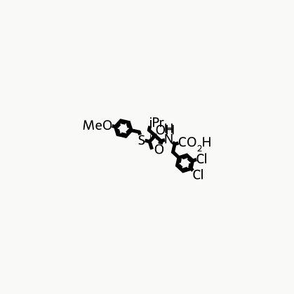 COc1ccc(CSC(C)[C@@](O)(CC(C)C)C(=O)NC(Cc2ccc(Cl)c(Cl)c2)C(=O)O)cc1